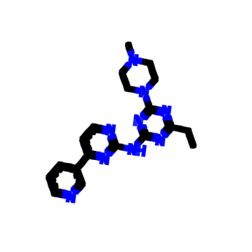 CCc1nc(Nc2nccc(-c3cccnc3)n2)nc(N2CCN(C)CC2)n1